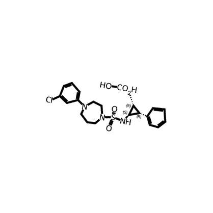 C[C@H]1[C@H](NS(=O)(=O)N2CCCN(c3cccc(Cl)c3)CC2)[C@H]1c1ccccc1.O=C(O)O